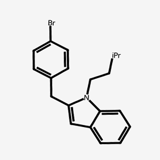 CC(C)CCn1c(Cc2ccc(Br)cc2)cc2ccccc21